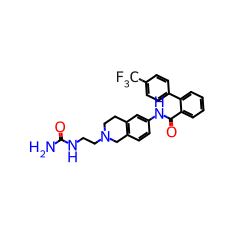 NC(=O)NCCN1CCc2cc(NC(=O)c3ccccc3-c3ccc(C(F)(F)F)cc3)ccc2C1